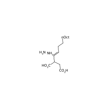 CCCCCCCCCCC=CC(CC(=O)O)C(=O)O.N.N